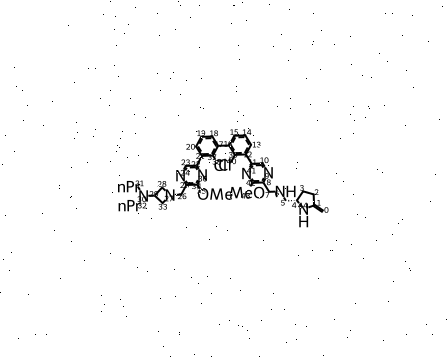 C=C1CC[C@@H](CNCc2ncc(-c3cccc(-c4cccc(-c5cnc(CN6CC(N(CCC)CCC)C6)c(OC)n5)c4Cl)c3Cl)nc2OC)N1